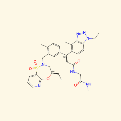 CC[C@@H]1CN(Cc2cc([C@H](CC(=O)NCC(=O)NC)c3ccc4c(nnn4CC)c3C)ccc2C)S(=O)(=O)c2cccnc2O1